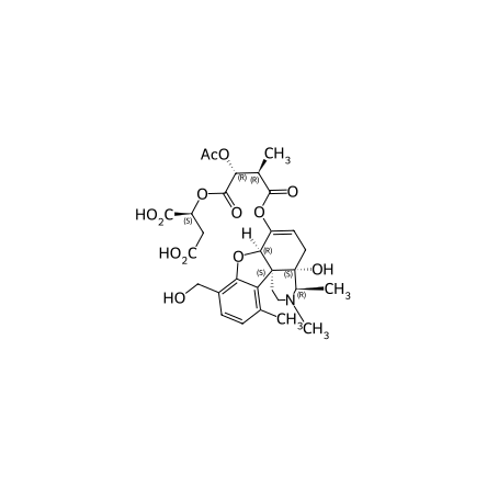 CC(=O)O[C@@H](C(=O)O[C@@H](CC(=O)O)C(=O)O)[C@@H](C)C(=O)OC1=CC[C@@]2(O)[C@@H](C)N(C)CC[C@@]23c2c(C)ccc(CO)c2O[C@@H]13